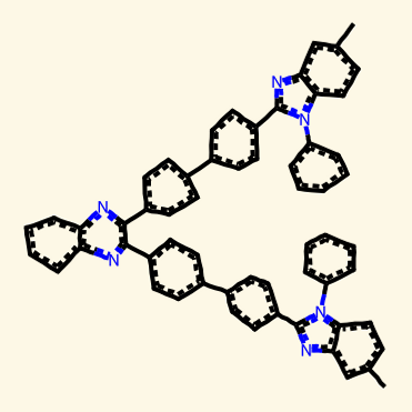 Cc1ccc2c(c1)nc(-c1ccc(-c3ccc(-c4nc5ccccc5nc4-c4ccc(-c5ccc(-c6nc7cc(C)ccc7n6-c6ccccc6)cc5)cc4)cc3)cc1)n2-c1ccccc1